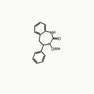 CON1C(=O)Nc2ccccc2CC1c1ccccc1